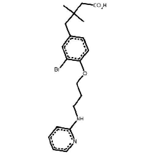 CC(C)(CC(=O)O)Cc1ccc(OCCCNc2ccccn2)c(Br)c1